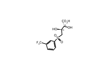 O=C(O)[C@H](O)[C@H](O)CS(=O)(=O)c1cccc(C(F)(F)F)c1